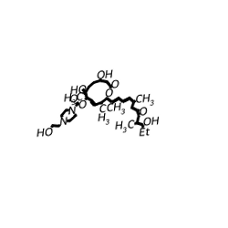 CCC(O)C(C)C1OC1CC(C)/C=C/C=C(\C)C1OC(=O)CC(O)CCC(C)(O)C(OC(=O)N2CCN(CCO)CC2)/C=C/C1C